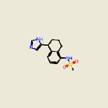 CS(=O)(=O)Nc1cccc2c1CCCC2c1cnc[nH]1